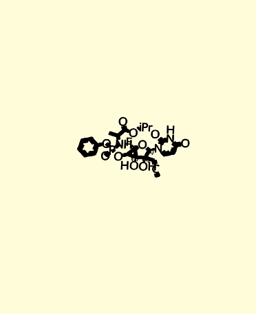 C=C=C[C@]1(O)[C@H](n2ccc(=O)[nH]c2=O)O[C@]2(F)C(OP(=O)(NC(C)C(=O)OC(C)C)Oc3ccccc3)[C@@]21O